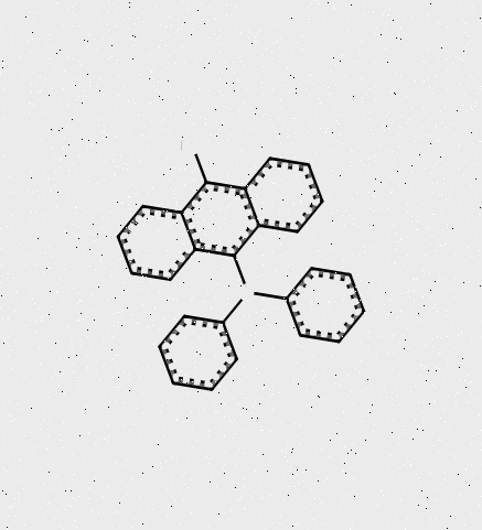 Brc1c2ccccc2c(P(c2ccccc2)c2ccccc2)c2ccccc12